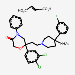 CC(=O)NC1(c2cccc(F)c2)CCN(CCC2(c3ccc(Cl)c(Cl)c3)CN(c3ccccc3)C(=O)CO2)CC1.O=C(O)/C=C/C(=O)O